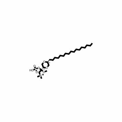 CCCCCCCCCCCCCCCCC[C@H]1CO[C@H](C(C[N+](C)(C)C)(OC)OP(=O)([O-])O)CO1